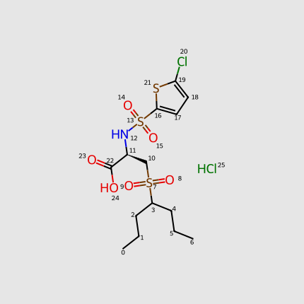 CCCC(CCC)S(=O)(=O)C[C@H](NS(=O)(=O)c1ccc(Cl)s1)C(=O)O.Cl